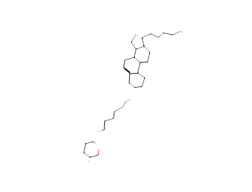 CC(=O)O[C@@H]1[C@@H](OC(C)=O)[C@H](SCCCCCCO[C@H]2CC[C@@]3(C)C(=CCC4C3CC[C@@]3(C)C4CC[C@@H]3[C@H](C)CCCC(C)C)C2)OC[C@H]1OC(C)=O